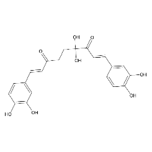 O=C(C=Cc1ccc(O)c(O)c1)CCC(O)(O)C(=O)C=Cc1ccc(O)c(O)c1